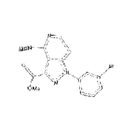 CNc1nccc2c1c(C(=O)OC)nn2-c1cccc(Br)c1